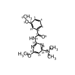 COc1cccc(C(=O)Nc2nc(OC)cc(N(C)C)n2)c1